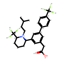 CC(C)CCN1C(c2cc(CC(=O)O)cc(-c3ccc(C(F)(F)F)cc3)c2)CCCC1C(F)(F)F